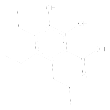 CCCc1c(CC)c(CC)c(O)c(O)c1C(=O)O